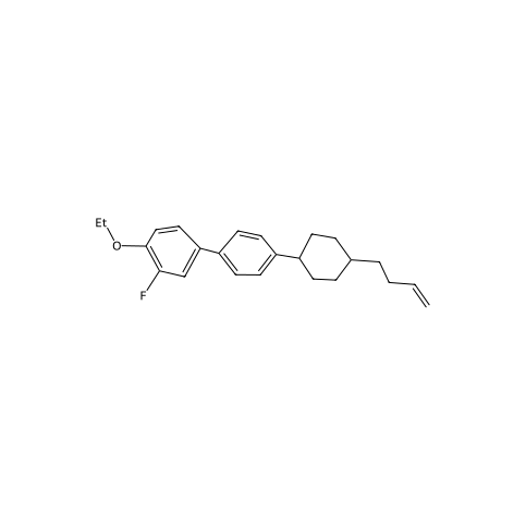 C=CCCC1CCC(c2ccc(-c3ccc(OCC)c(F)c3)cc2)CC1